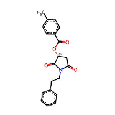 O=C(O[C@@H]1CC(=O)N(CCc2ccccc2)C1=O)c1ccc(C(F)(F)F)cc1